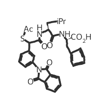 CC(=O)SC(C(=O)N[C@@H](CC(C)C)C(=O)N[C@@H](Cc1ccccc1)C(=O)O)c1cccc(N2C(=O)c3ccccc3C2=O)c1